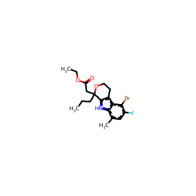 CCCC1(CC(=O)OCC)OCCc2c1[nH]c1c(C)cc(F)c(Br)c21